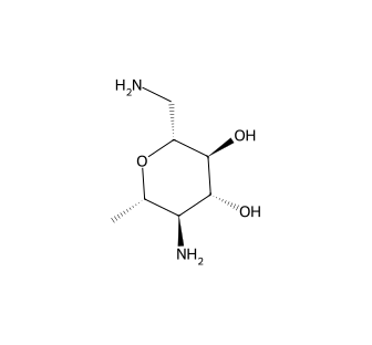 C[C@@H]1O[C@H](CN)[C@@H](O)[C@H](O)[C@H]1N